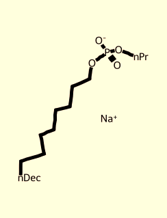 CCCCCCCCCCCCCCCCCCOP(=O)([O-])OCCC.[Na+]